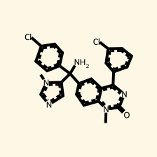 Cn1cncc1C(N)(c1ccc(Cl)cc1)c1ccc2c(c1)c(-c1cccc(Cl)c1)nc(=O)n2C